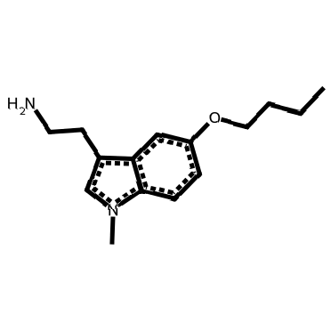 CCCCOc1ccc2c(c1)c(CCN)cn2C